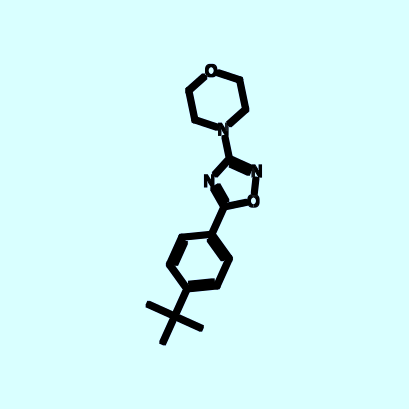 CC(C)(C)c1ccc(-c2nc(N3CCOCC3)no2)cc1